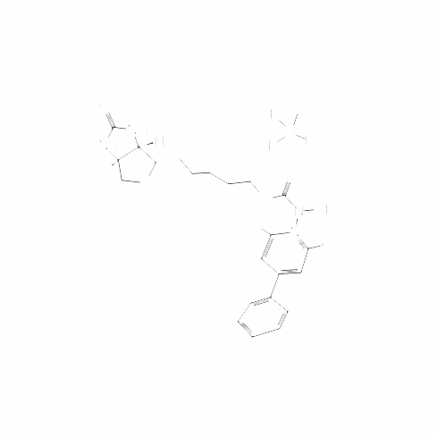 Cc1cc(-c2ccccc2)cc(C)[n+]1N(C)C(=O)OCCCCC[C@@H]1SC[C@@H]2NC(=O)N[C@@H]21.F[B-](F)(F)F